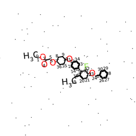 CCOC(=O)COC1CCC(Oc2ccc([C@@H]3C(CC)=CC[C@@H](OCc4ccccc4)C3F)cc2)CC1